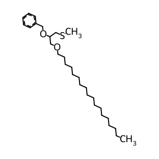 CCCCCCCCCCCCCCCCCCOCC(CSC)OCc1ccccc1